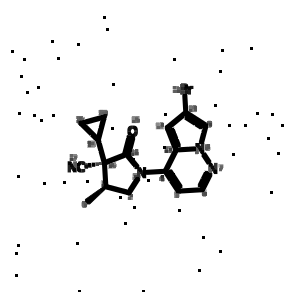 C[C@@H]1CN(c2ccnn3cc(Br)cc23)C(=O)[C@]1(C#N)C1CC1